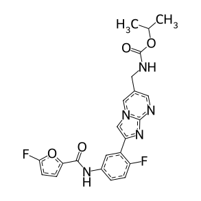 CC(C)OC(=O)NCc1cnc2nc(-c3cc(NC(=O)c4ccc(F)o4)ccc3F)cn2c1